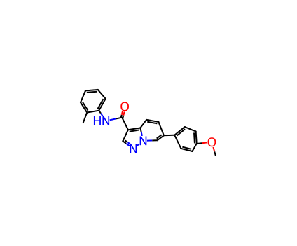 COc1ccc(-c2ccc3c(C(=O)Nc4ccccc4C)cnn3c2)cc1